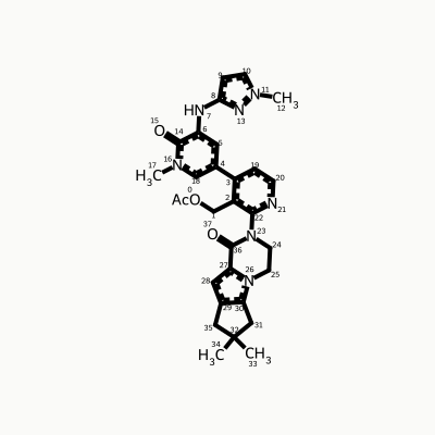 CC(=O)OCc1c(-c2cc(Nc3ccn(C)n3)c(=O)n(C)c2)ccnc1N1CCn2c(cc3c2CC(C)(C)C3)C1=O